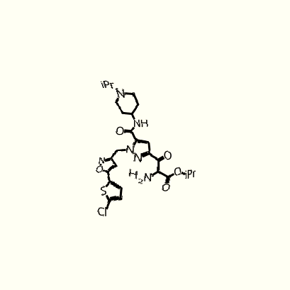 CC(C)OC(=O)C(N)C(=O)c1cc(C(=O)NC2CCN(C(C)C)CC2)n(Cc2cc(-c3ccc(Cl)s3)on2)n1